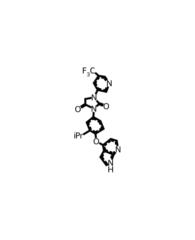 CC(C)c1cc(N2C(=O)CN(c3cncc(C(F)(F)F)c3)C2=O)ccc1Oc1ccnc2[nH]ccc12